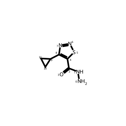 NNC(=O)c1snnc1C1CC1